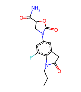 CCCN1C(=O)Cc2cc(N3CC(C(N)=O)OC3=O)cc(F)c21